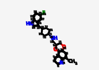 Cc1cc2c(c3cccnc13)O[C@@H](CN[C@H]1CC[C@H](c3c[nH]c4ccc(F)cc43)CC1)CO2